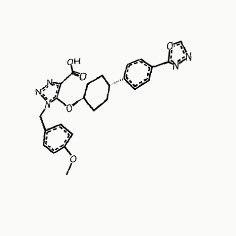 COc1ccc(Cn2nnc(C(=O)O)c2O[C@H]2CC[C@H](c3ccc(-c4nnco4)cc3)CC2)cc1